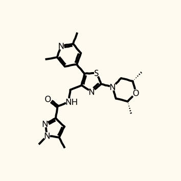 Cc1cc(-c2sc(N3C[C@@H](C)O[C@@H](C)C3)nc2CNC(=O)c2cc(C)n(C)n2)cc(C)n1